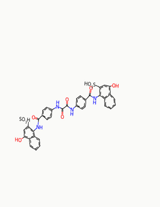 O=C(Nc1ccc(C(=O)Nc2c(S(=O)(=O)O)cc(O)c3ccccc23)cc1)C(=O)Nc1ccc(C(=O)Nc2c(S(=O)(=O)O)cc(O)c3ccccc23)cc1